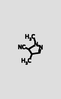 CC1C=NN(C)C1C#N